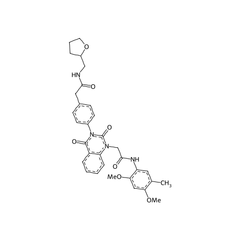 COc1cc(OC)c(NC(=O)Cn2c(=O)n(-c3ccc(CC(=O)NCC4CCCO4)cc3)c(=O)c3ccccc32)cc1C